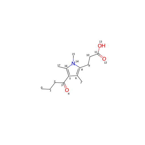 CCCC(=O)c1c(C)c(CCC(=O)O)n(C)c1C